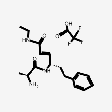 CCNC(=O)/C=C/[C@H](CCc1ccccc1)NC(=O)[C@H](C)N.O=C(O)C(F)(F)F